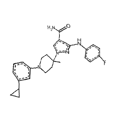 CC1(n2cc(C(N)=O)c(Nc3ccc(F)cc3)n2)CCN(c2cccc(C3CC3)c2)CC1